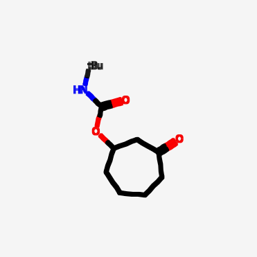 CC(C)(C)NC(=O)OC1CCCCC(=O)C1